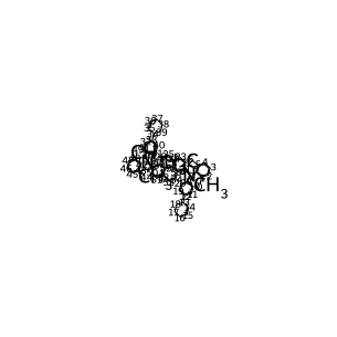 Cc1cccc(C)c1N(c1ccc(C2C=CCCC2)cc1)c1ccc2ccc3c(N(c4ccc(C5C=CCCC5)cc4)c4c(C)cccc4C)ccc4ccc1c2c43